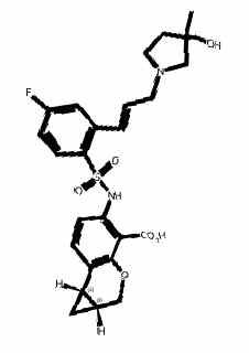 CC1(O)CCN(CC=Cc2cc(F)ccc2S(=O)(=O)Nc2ccc3c(c2C(=O)O)OC[C@@H]2C[C@H]32)C1